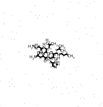 CCCCN[C@@H](CC(C)C)C(=O)C(=O)[C@H](Cc1cnc[nH]1)NC(=O)C(CC(N)=O)NC(=O)[C@H](CC(C)C)NC(=O)CNN